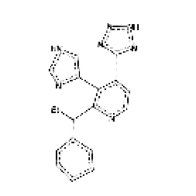 CCC(c1ccccc1)c1nccc(-c2nn[nH]n2)c1-c1c[nH]cn1